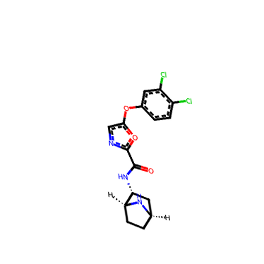 O=C(N[C@@H]1C[C@H]2CC[C@@H]1N2)c1ncc(Oc2ccc(Cl)c(Cl)c2)o1